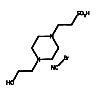 N#CBr.O=S(=O)(O)CCN1CCN(CCO)CC1